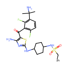 CC(C)CS(=O)(=O)NC1CCC(Nc2nc(N)c(C(=O)c3c(F)ccc(C(C)(C)N)c3F)s2)CC1